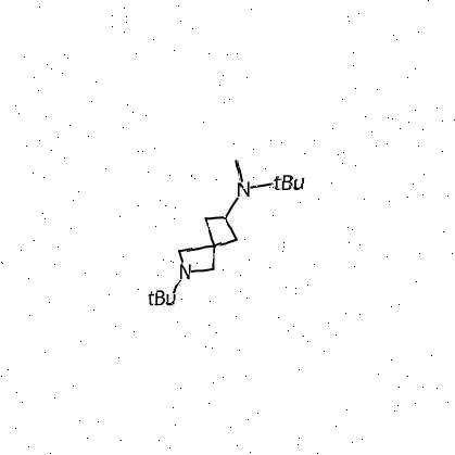 CN(C1CC2(C1)CN(C(C)(C)C)C2)C(C)(C)C